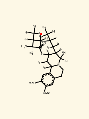 [2H]C1C2([2H])c3cc(OC)c(OC)cc3CCN2C([2H])([2H])C([2H])(C([2H])([2H])C([2H])(C)C([2H])([2H])[2H])C1([2H])OC(=O)[C@@]([2H])(N)C([2H])(C([2H])([2H])[2H])C([2H])([2H])[2H]